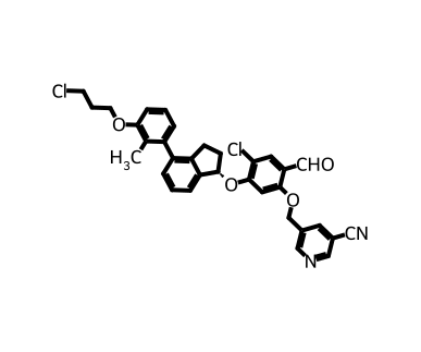 Cc1c(OCCCCl)cccc1-c1cccc2c1CC[C@@H]2Oc1cc(OCc2cncc(C#N)c2)c(C=O)cc1Cl